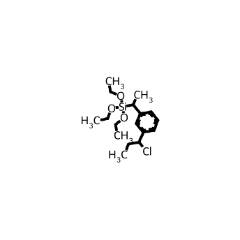 CCO[Si](OCC)(OCC)C(C)c1cccc(C(Cl)CC)c1